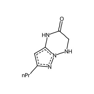 CCCc1cc2n(n1)NCC(=O)N2